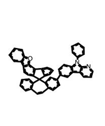 C1=Cc2ccc(-c3ccc4c(c3)c3cccnc3n4-c3ccccc3)cc2C2(c3ccccc31)c1ccccc1-c1c2ccc2c1oc1ccccc12